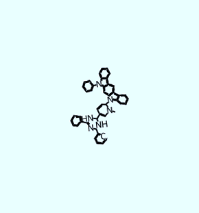 CN1C=C(C2NC(c3ccccc3)=NC(c3ccccc3)N2)C=CC1n1c2ccccc2c2cc3c4ccccc4n(-c4ccccc4)c3cc21